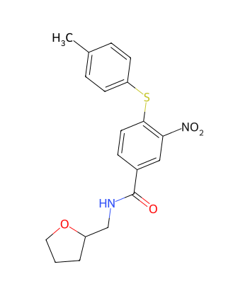 Cc1ccc(Sc2ccc(C(=O)NCC3CCCO3)cc2[N+](=O)[O-])cc1